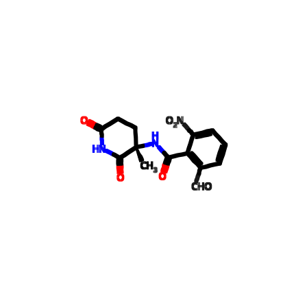 C[C@]1(NC(=O)c2c(C=O)cccc2[N+](=O)[O-])CCC(=O)NC1=O